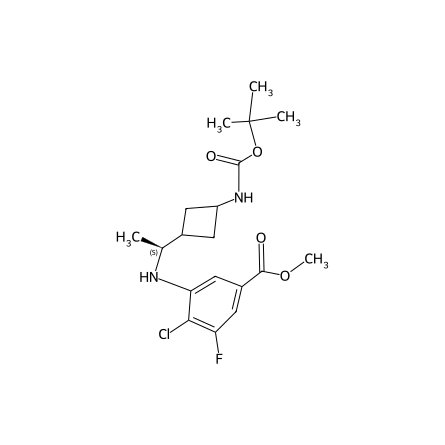 COC(=O)c1cc(F)c(Cl)c(N[C@@H](C)C2CC(NC(=O)OC(C)(C)C)C2)c1